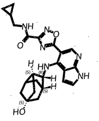 O=C(NCC1CC1)c1noc(-c2cnc3[nH]ccc3c2N[C@@H]2[C@H]3CC4C[C@](O)(C3)C[C@@H]42)n1